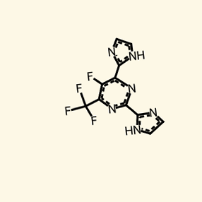 Fc1c(-c2ncc[nH]2)nc(-c2ncc[nH]2)nc1C(F)(F)F